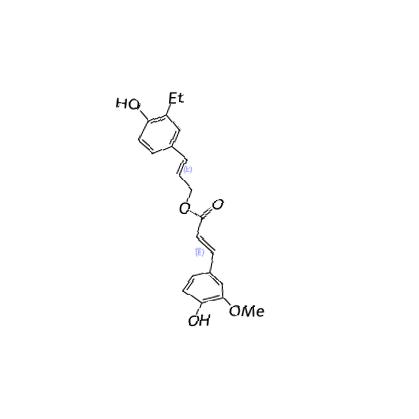 CCc1cc(/C=C/COC(=O)/C=C/c2ccc(O)c(OC)c2)ccc1O